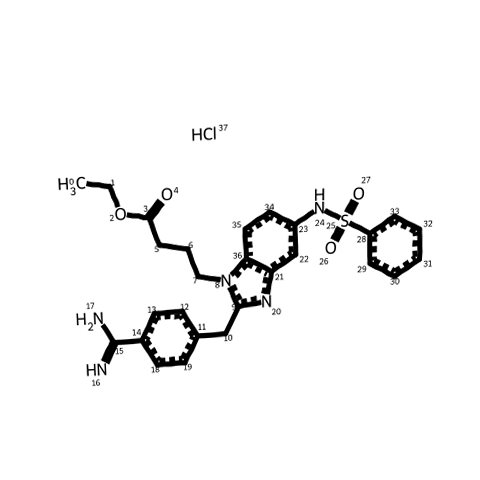 CCOC(=O)CCCn1c(Cc2ccc(C(=N)N)cc2)nc2cc(NS(=O)(=O)c3ccccc3)ccc21.Cl